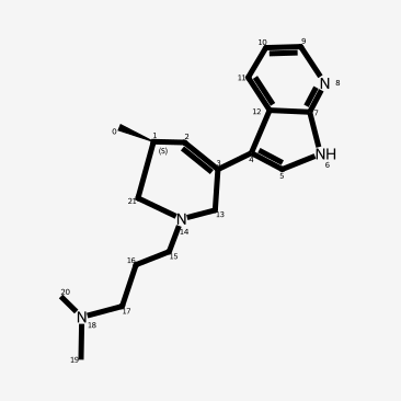 C[C@H]1C=C(c2c[nH]c3ncccc23)CN(CCCN(C)C)C1